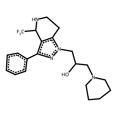 OC(CN1CCCCC1)Cn1nc(-c2ccccc2)c2c1CCNC2C(F)(F)F